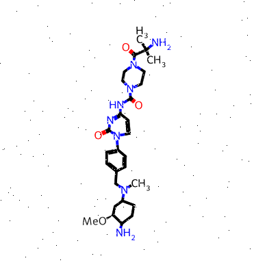 CO[C@H]1CC(N(C)Cc2ccc(-n3ccc(NC(=O)N4CCN(C(=O)C(C)(C)N)CC4)nc3=O)cc2)CCC1N